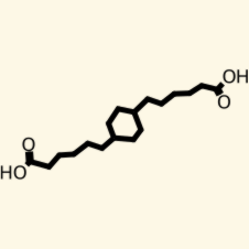 O=C(O)CCCCCC1CCC(CCCCCC(=O)O)CC1